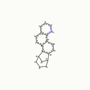 c1cnc2c(c1)ccc1c3c(ccc12)C1CCCC3C1